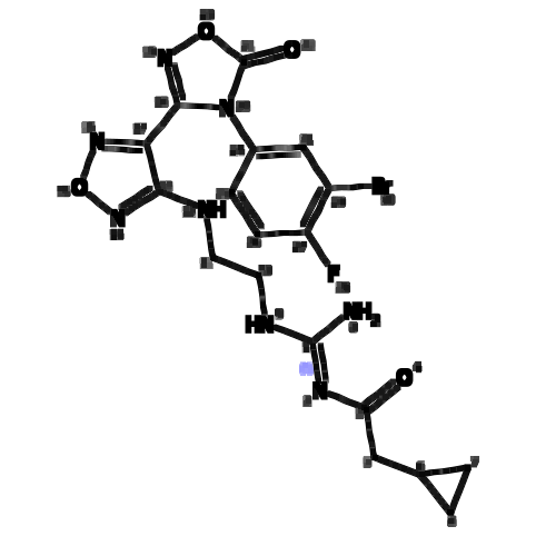 N/C(=N\C(=O)CC1CC1)NCCNc1nonc1-c1noc(=O)n1-c1ccc(F)c(Br)c1